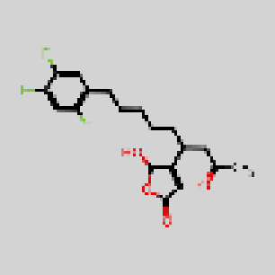 O=C1C=C(C(CCCCCc2cc(F)c(F)cc2F)CC(=O)C(F)(F)F)C(O)O1